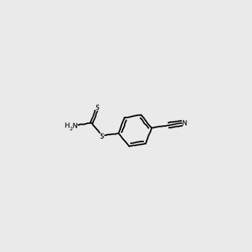 N#Cc1ccc(SC(N)=S)cc1